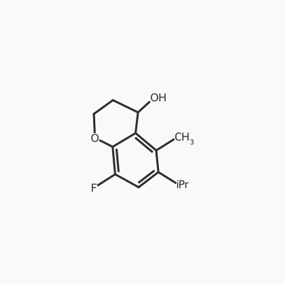 Cc1c(C(C)C)cc(F)c2c1C(O)CCO2